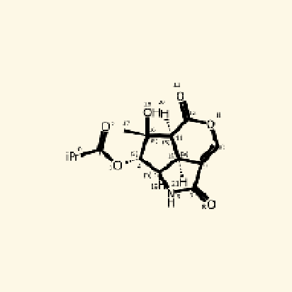 CC(C)C(=O)O[C@H]1[C@H]2NC(=O)C3=COC(=O)[C@@H]([C@@H]32)[C@@]1(C)O